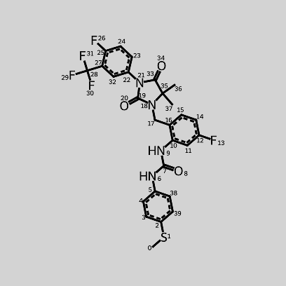 CSc1ccc(NC(=O)Nc2cc(F)ccc2CN2C(=O)N(c3ccc(F)c(C(F)(F)F)c3)C(=O)C2(C)C)cc1